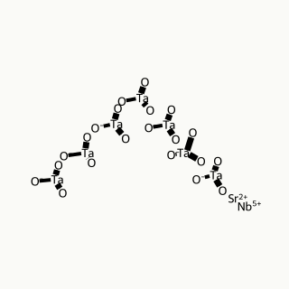 [Nb+5].[O]=[Ta](=[O])[O-].[O]=[Ta](=[O])[O-].[O]=[Ta](=[O])[O-].[O]=[Ta](=[O])[O-].[O]=[Ta](=[O])[O-].[O]=[Ta](=[O])[O-].[O]=[Ta](=[O])[O-].[Sr+2]